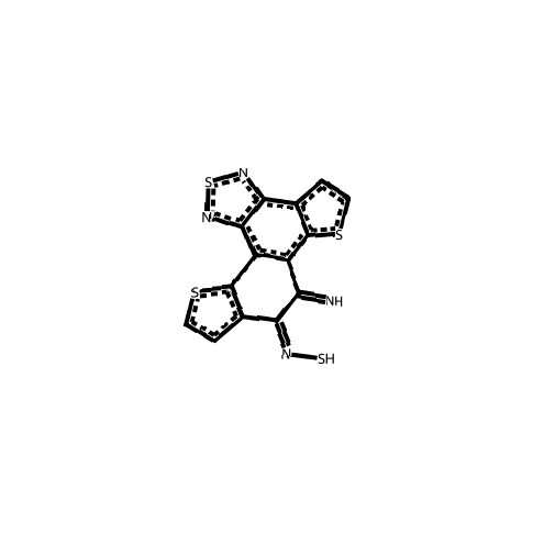 N=C1/C(=N\S)c2ccsc2-c2c1c1sccc1c1nsnc21